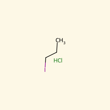 CCCI.Cl